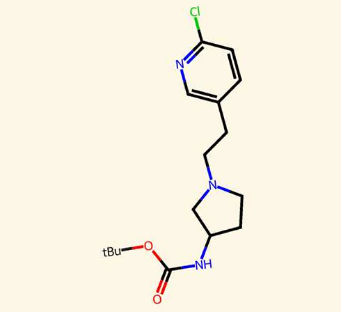 CC(C)(C)OC(=O)NC1CCN(CCc2ccc(Cl)nc2)C1